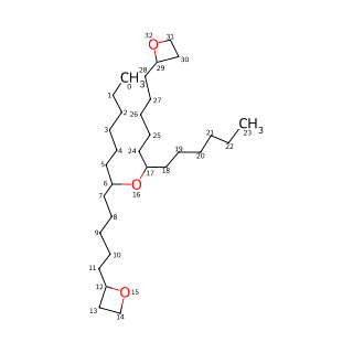 CCCCCCC(CCCCCC1CCO1)OC(CCCCCC)CCCCCC1CCO1